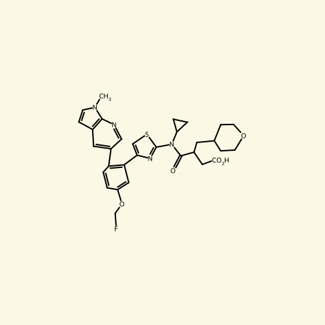 Cn1ccc2cc(-c3ccc(OCF)cc3-c3csc(N(C(=O)C(CC(=O)O)CC4CCOCC4)C4CC4)n3)cnc21